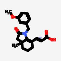 COc1cccc(CN2C(=O)CC3(C)CCCC(/C=C/C(=O)O)=C23)c1